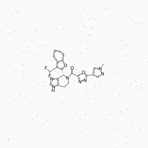 Cn1cc(-c2nnc(C(=O)N3CCc4[nH]cnc4[C@@H]3c3oc4ccccc4c3C(F)F)o2)cn1